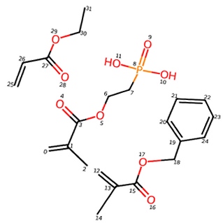 C=C(C)C(=O)OCCP(=O)(O)O.C=C(C)C(=O)OCc1ccccc1.C=CC(=O)OCC